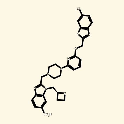 O=C(O)c1ccc2nc(CN3CCN(c4cccc(OCc5nc6ccc(Cl)cc6s5)n4)CC3)n(C[C@@H]3CCO3)c2c1